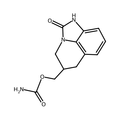 NC(=O)OCC1Cc2cccc3[nH]c(=O)n(c23)C1